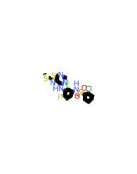 CSc1nc2c(Nc3c(F)ccc(NS(=O)(=O)c4ccccc4Cl)c3F)ncnc2s1